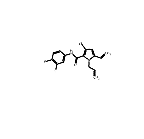 C=CCn1c(C=C)cc(Cl)c1C(=O)Nc1ccc(F)c(F)c1